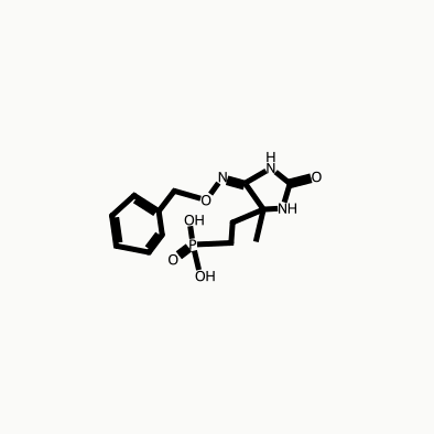 CC1(CCP(=O)(O)O)NC(=O)NC1=NOCc1ccccc1